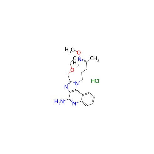 CCOCc1nc2c(N)nc3ccccc3c2n1CCCC(C)=NOC.Cl